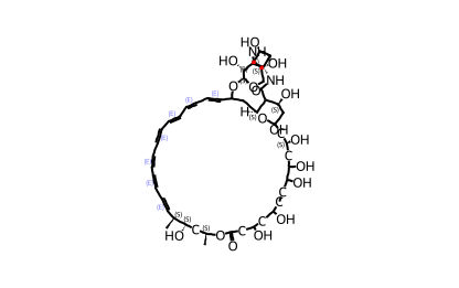 C[C@H]1C[C@H](O)[C@@H](C)/C=C/C=C/C=C/C=C/C=C/C=C/C=C/C(O[C@@H]2OC[C@@H](O)[C@H](N)[C@H]2O)C[C@@H]2OC(O)(C[C@@H](O)CC(O)C(O)CCC(O)CC(O)CC(=O)O1)C[C@H](O)C2C(=O)N[C@H]1C[C@@H](O)C1